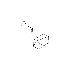 C(=CC12CC3CC(CC(C3)C1)C2)C1CC1